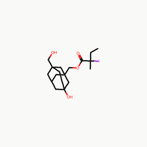 CCC(C)(I)C(=O)OCC12CC3CC(O)(CC(CO)(C3)C1)C2